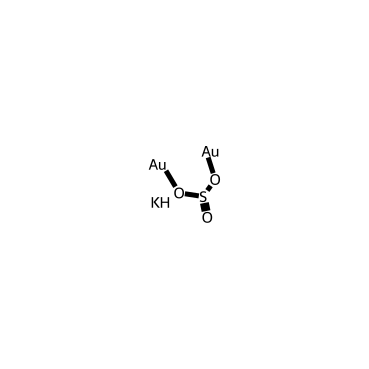 O=S([O][Au])[O][Au].[KH]